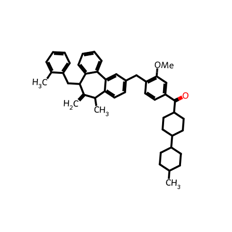 C=C1C(C)c2ccc(Cc3ccc(C(=O)C4CCC(C5CCC(C)CC5)CC4)cc3OC)cc2-c2ccccc2C1Cc1ccccc1C